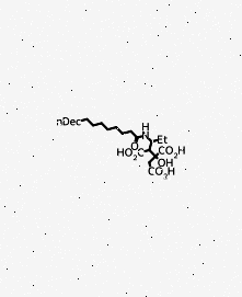 CCCCCCCCCCCCCCCCCC(=O)NC(CC)C(C(=O)O)C(O)(CC(=O)O)C(=O)O